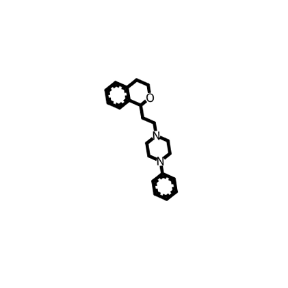 c1ccc(N2CCN(CCC3OCCc4ccccc43)CC2)cc1